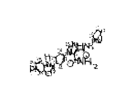 NC(=O)c1c(C(=O)NC[C@@H]2CCCO2)ncn1[C@H]1CC[C@H](C(=O)Nc2ccc(F)cc2Cl)CC1